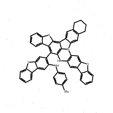 CC(C)(C)c1ccc(Nc2cc3c(cc2-c2c4c5c(c6cc7c(cc6n5-c5cc6oc8ccccc8c6cc5B4)CCCC7)c4sc5ccccc5c24)sc2ccccc23)cc1